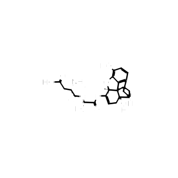 C[C@H](OC(=O)[C@@H](N)CC(=O)O)C(=O)OC1=CC[C@@]2(O)[C@@H]3CCCC24c2c(ccc(O)c2O[C@@H]14)C3